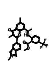 COC(=O)c1cc(C(F)(F)F)ccc1N[C@H](C)c1cc(C)cc2c(=O)c(C)c(-c3ccc4nn(C)cc4c3)oc12